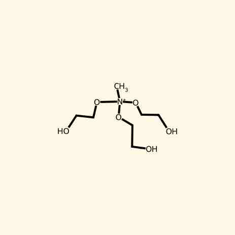 C[N+](OCCO)(OCCO)OCCO